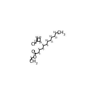 C=COC(=O)CCCCCCCCCCC.ClC1=CCC1